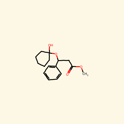 COC(=O)CC(OC1(O)CCCCC1)c1ccccc1